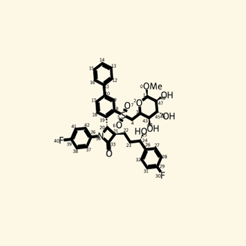 CO[C@@H]1OC(CS(=O)(=O)c2cc(-c3ccccc3)ccc2[C@@H]2[C@@H](CC[C@H](O)c3ccc(F)cc3)C(=O)N2c2ccc(F)cc2)[C@H](O)[C@@H](O)[C@@H]1O